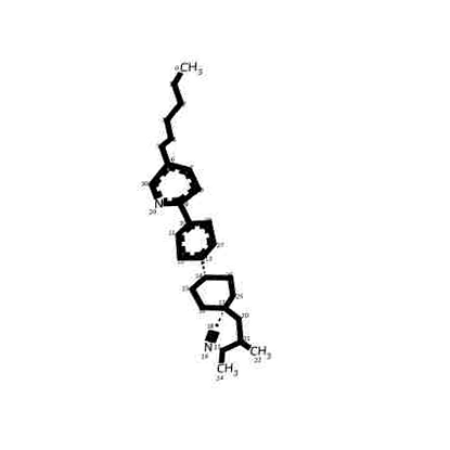 CCCCCCc1ccc(-c2ccc([C@H]3CC[C@](C#N)(CC(C)CC)CC3)cc2)nc1